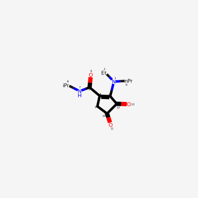 CCCN(CC)C1=C(C(=O)NC(C)C)CC(=O)C1=O